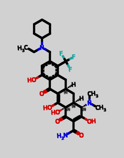 CCN(Cc1cc(O)c2c(c1C(F)(F)F)C[C@H]1C[C@H]3[C@H](N(C)C)C(O)=C(C(N)=O)C(=O)[C@@]3(O)C(O)=C1C2=O)C1CCCCC1